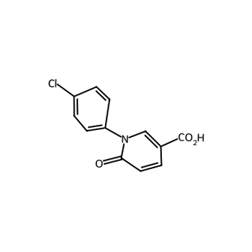 O=C(O)c1ccc(=O)n(-c2ccc(Cl)cc2)c1